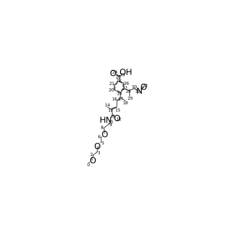 COCCOCCOCCNC(=O)/C(C)=C/C=C(\C)c1ccc(C(=O)O)cc1C(C)CN=O